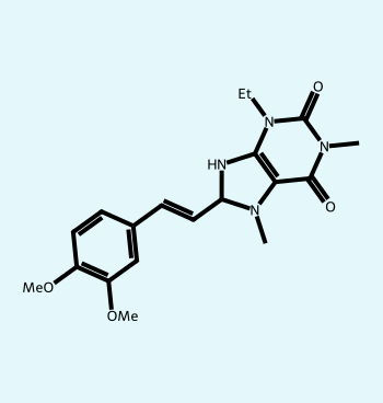 CCn1c2c(c(=O)n(C)c1=O)N(C)C(/C=C/c1ccc(OC)c(OC)c1)N2